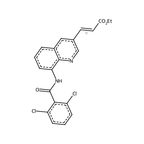 CCOC(=O)/C=C/c1cnc2c(NC(=O)c3c(Cl)cccc3Cl)cccc2c1